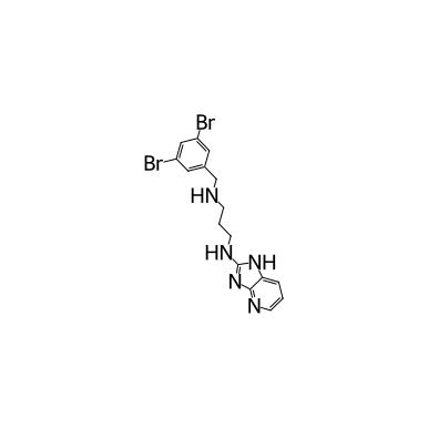 Brc1cc(Br)cc(CNCCCNc2nc3ncccc3[nH]2)c1